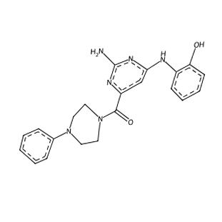 Nc1nc(Nc2ccccc2O)cc(C(=O)N2CCN(c3ccccc3)CC2)n1